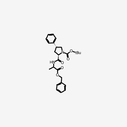 CC(NC(=O)[C@H]1C[C@H](c2ccccc2)CN1C(=O)OC(C)(C)C)C(=O)OCc1ccccc1